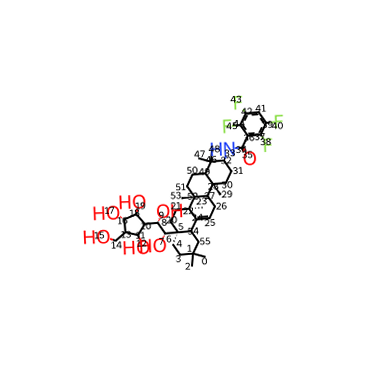 CC1(C)CC[C@]2([C@H](O)[C@@H](O)C3C(O)C(CO)[C@H](O)C3O)CC[C@]3(C)C(=CCC4[C@@]5(C)CC[C@H](NC(=O)c6c(F)c(F)cc(F)c6F)C(C)(C)C5CC[C@]43C)C2C1